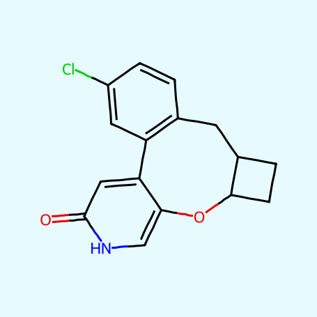 O=c1cc2c(c[nH]1)OC1CCC1Cc1ccc(Cl)cc1-2